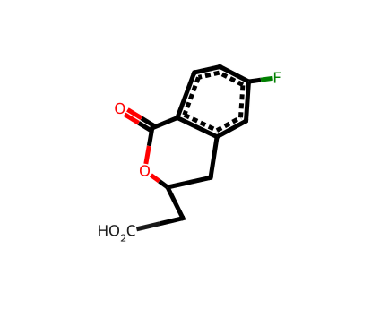 O=C(O)CC1Cc2cc(F)ccc2C(=O)O1